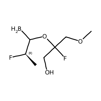 BC(OC(F)(CO)COC)[C@@H](C)F